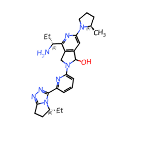 CC[C@@H]1CCc2nnc(-c3cccc(N4Cc5c(cc(N6CCC[C@H]6C)nc5[C@H](N)CC)C4O)n3)n21